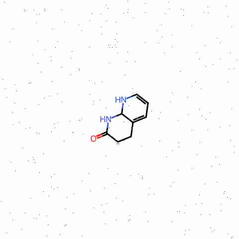 O=C1[C]CC2=CC=CNC2N1